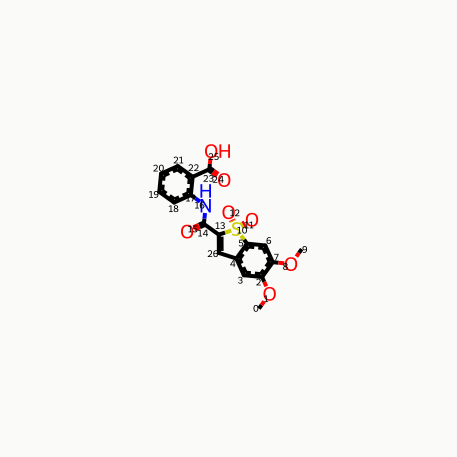 COc1cc2c(cc1OC)S(=O)(=O)C(C(=O)Nc1ccccc1C(=O)O)=C2